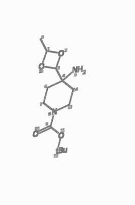 CC1OC(C2(N)CCN(C(=O)OC(C)(C)C)CC2)O1